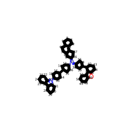 c1ccc2c(c1)ccc1cc(N(c3ccc(-c4ccc(-n5c6ccccc6c6ccccc65)cc4)cc3)c3ccc(-c4cccc5oc6ccccc6c45)cc3)ccc12